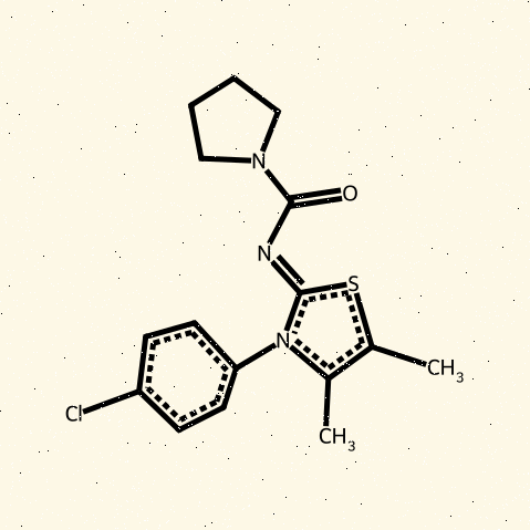 Cc1sc(=NC(=O)N2CCCC2)n(-c2ccc(Cl)cc2)c1C